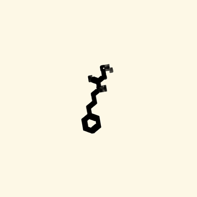 CSC(=S)NCCCc1ccccc1